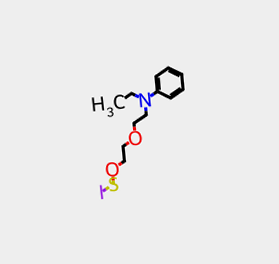 CCN(CCOCCOSI)c1ccccc1